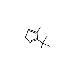 CC1=CCN=C1C(C)(C)C